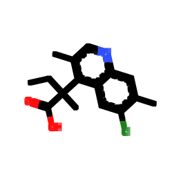 CCC(C)(C(=O)O)c1c(C)cnc2cc(C)c(Cl)cc12